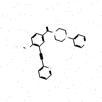 COc1ccc(C(=O)N2CCN(c3ccncc3)CC2)cc1C#Cc1ccccn1